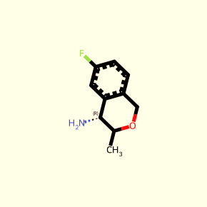 CC1OCc2ccc(F)cc2[C@H]1N